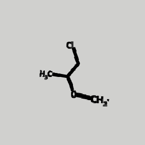 [CH2]OC(C)CCl